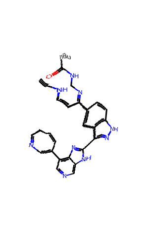 C#CN/C=C\C(=N/CNC(=O)CCCC)c1ccc2[nH]nc(-c3nc4c(C5=CN=CCC=C5)cncc4[nH]3)c2c1